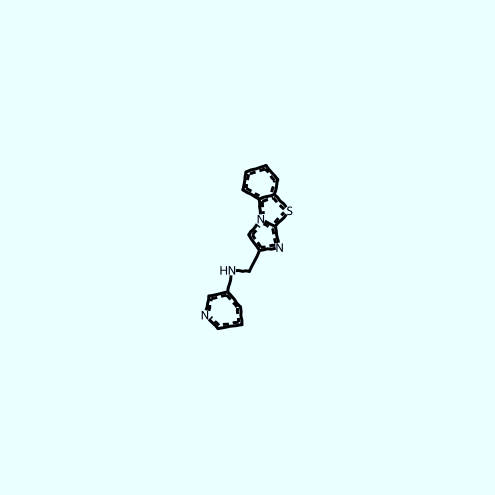 c1cncc(NCc2cn3c(n2)sc2ccccc23)c1